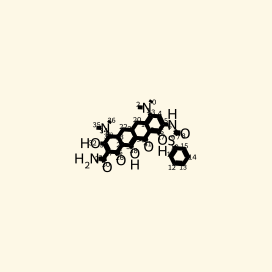 CN(C)c1cc(NC(=O)Sc2ccccc2)c(O)c2c1CC1CC3C(C(=O)C(C(N)=O)=C(O)[C@H]3N(C)C)C(O)=C1C2=O